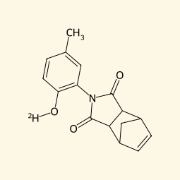 [2H]Oc1ccc(C)cc1N1C(=O)C2C3C=CC(C3)C2C1=O